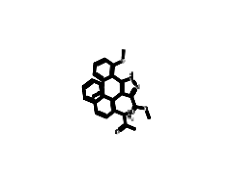 COC(=O)c1n[nH]c(-c2c(OC)cccc2OC)c1-c1c(C(N)C(C)=O)ccc2ccccc12